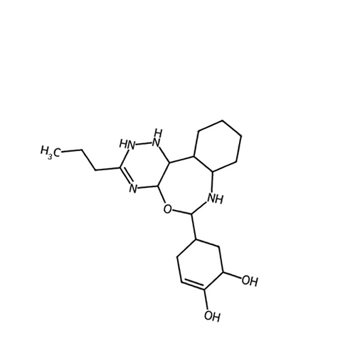 CCCC1=NC2OC(C3CC=C(O)C(O)C3)NC3CCCCC3C2NN1